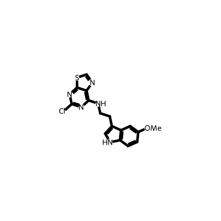 COc1ccc2[nH]cc(CCNc3nc(Cl)nc4scnc34)c2c1